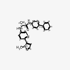 C[C@@H](Nc1ccc(-c2ccnn2C)nc1)C(=O)Nc1ccc(-c2ccccc2)nn1